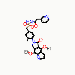 CCOc1c2c(c(OCC)c3ncccc13)CN(c1ccc(CS(=O)(=O)NC(=O)Cc3cccnc3)cc1C)C2=O